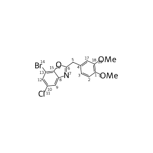 COc1ccc(Cc2nc3cc(Cl)cc(Br)c3o2)cc1OC